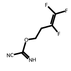 N#CC(=N)OCCC(F)=C(F)F